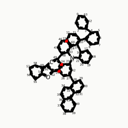 c1ccc(-c2ccccc2-c2ccccc2-c2ccccc2N(c2cccc(-c3cccc4c3ccc3ccccc34)c2)c2ccccc2-c2ccc3oc4ccccc4c3c2)cc1